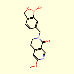 COc1cc2c(cn1)C(=O)N(Cc1ccc3c(c1)B(O)OC3)CC2